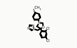 CSc1ccc(N2COC(Cn3cncn3)(c3ccc(Cl)cc3Cl)C2)cc1